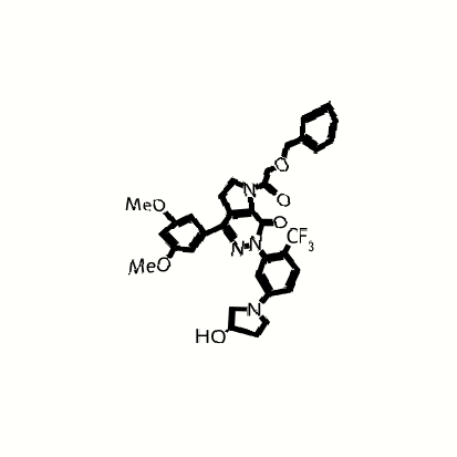 COc1cc(OC)cc(-c2nn(-c3cc(N4CC[C@H](O)C4)ccc3C(F)(F)F)c(=O)c3c2CCN3C(=O)COCc2ccccc2)c1